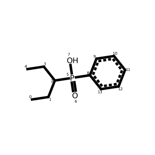 CCC(CC)P(=O)(O)c1ccccc1